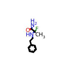 CC(F)(NCCc1ccccc1)C(N)=O